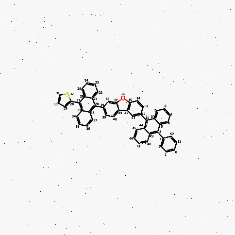 c1ccc(-c2c3ccccc3c(-c3ccc4oc5cc(-c6c7ccccc7c(-c7cccs7)c7ccccc67)ccc5c4c3)c3ccccc23)cc1